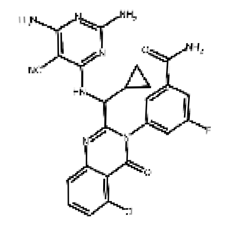 N#Cc1c(N)nc(N)nc1NC(c1nc2cccc(Cl)c2c(=O)n1-c1cc(F)cc(C(N)=O)c1)C1CC1